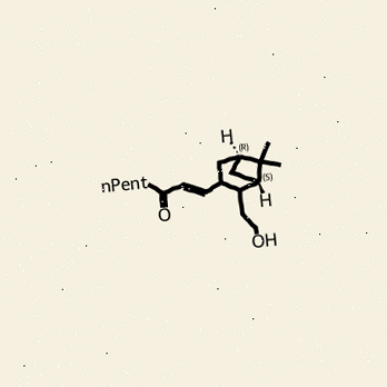 CCCCCC(=O)C=CC1C[C@@H]2C[C@@H](C1CCO)C2(C)C